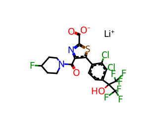 O=C([O-])c1nc(C(=O)N2CCC(F)CC2)c(-c2ccc(C(O)(C(F)(F)F)C(F)(F)F)c(Cl)c2Cl)s1.[Li+]